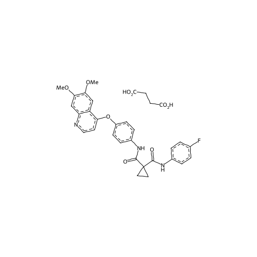 COc1cc2nccc(Oc3ccc(NC(=O)C4(C(=O)Nc5ccc(F)cc5)CC4)cc3)c2cc1OC.O=C(O)CCC(=O)O